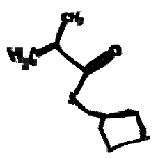 CC(C)C(=O)SC1C[CH]C1